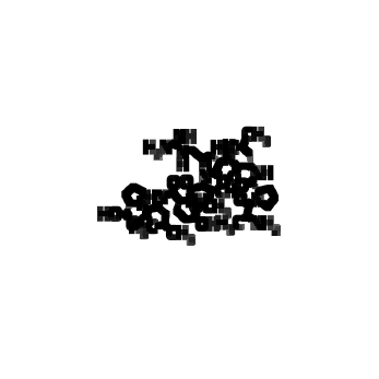 CC(C)C[C@H](NC(=O)[C@@H]1CCCN1C(=O)[C@H](C)N)C(=O)N[C@@H](CCCNC(=N)N)C(=O)N[C@H](C(=O)N[C@@H](CCC(=O)O)C(=O)N[C@@H](CC(C)C)C(=O)N1CCC[C@H]1C(=O)O)C(C)C